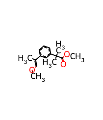 COC=C(C)c1cccc(C(C)(C)C(=O)OC)c1